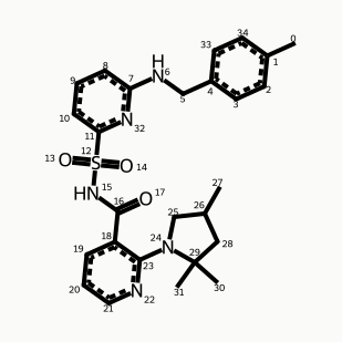 Cc1ccc(CNc2cccc(S(=O)(=O)NC(=O)c3cccnc3N3CC(C)CC3(C)C)n2)cc1